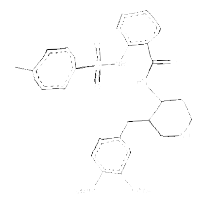 COc1ccc(CC2CNCCC2NC(=O)c2ccccc2NS(=O)(=O)c2ccc(C)cc2)cc1OC